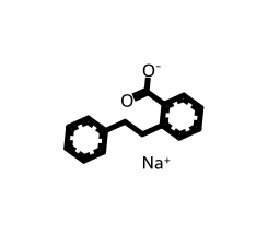 O=C([O-])c1ccccc1CCc1ccccc1.[Na+]